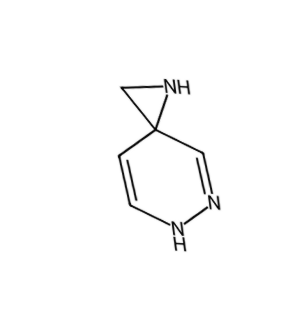 C1=CC2(C=NN1)CN2